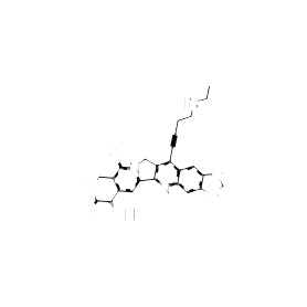 CCNCCC#Cc1c2c(nc3cc4c(cc13)OCO4)-c1cc3c(c(=O)n1C2)COC(=O)[C@H]3O